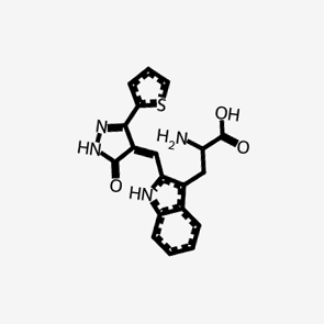 NC(Cc1c(C=C2C(=O)NN=C2c2cccs2)[nH]c2ccccc12)C(=O)O